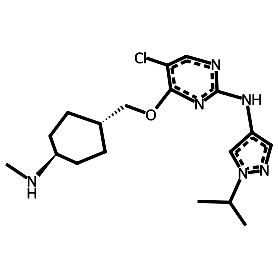 CN[C@H]1CC[C@H](COc2nc(Nc3cnn(C(C)C)c3)ncc2Cl)CC1